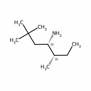 CC[C@H](C)[C@@H](N)CC(C)(C)C